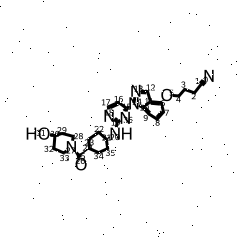 N#CCCCOc1cccc2c1cnn2-c1ccnc(N[C@H]2CC[C@H](C(=O)N3CCC(O)CC3)CC2)n1